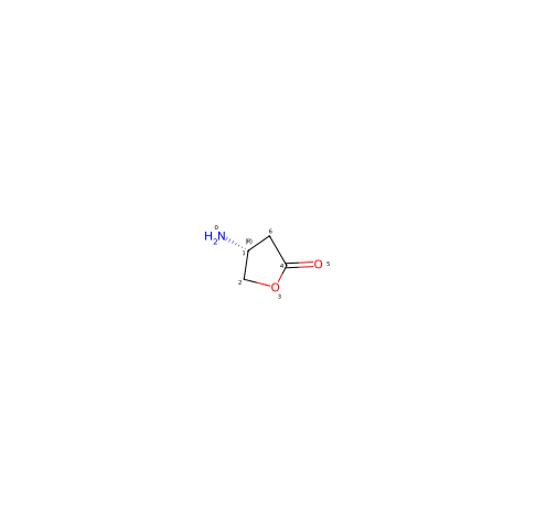 N[C@H]1COC(=O)C1